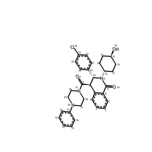 O=C([C@@H]1c2ccccc2C(=O)N([C@H]2CC[C@H](O)CC2)[C@H]1c1ccc(Cl)cc1)N1CCN(c2ccccc2)CC1